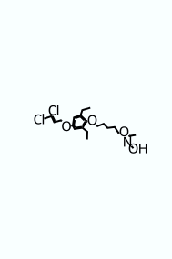 CCc1cc(OCC=C(Cl)Cl)cc(CC)c1OCCCCCOC(C)=NO